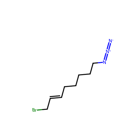 [N-]=[N+]=NCCCCC/C=C/CBr